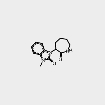 Cn1c(=O)n(C2CCCCNC2=O)c2ccccc21